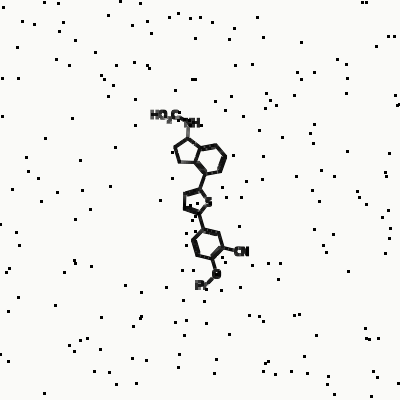 CC(C)Oc1ccc(-c2ccc(-c3cccc4c3CCC4NC(=O)O)s2)cc1C#N